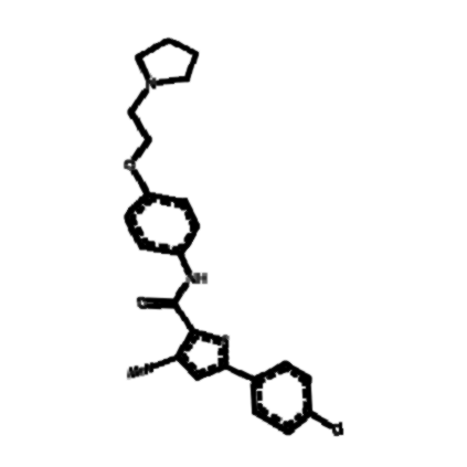 CNc1cc(-c2ccc(Cl)cc2)sc1C(=O)Nc1ccc(OCCN2CCCC2)cc1